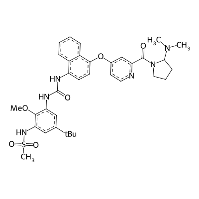 COc1c(NC(=O)Nc2ccc(Oc3ccnc(C(=O)N4CCCC4N(C)C)c3)c3ccccc23)cc(C(C)(C)C)cc1NS(C)(=O)=O